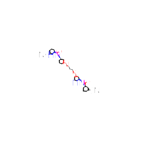 N#Cc1cccc(C(=O)NCc2cccc(OCCCCCOc3cccc(CNC(=O)c4cccc(C#N)c4)c3)c2)c1